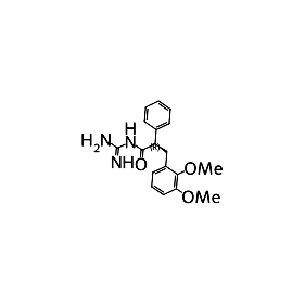 COc1cccc(C[C@@H](C(=O)NC(=N)N)c2ccccc2)c1OC